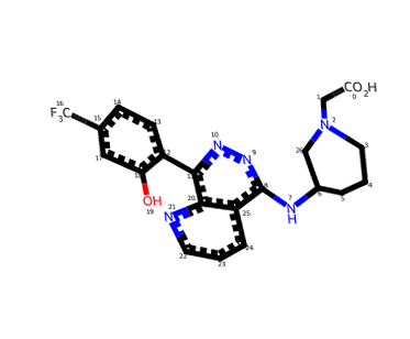 O=C(O)CN1CCCC(Nc2nnc(-c3ccc(C(F)(F)F)cc3O)c3ncccc23)C1